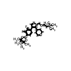 CC1(C)OB(c2ccc(-c3cnn(COCCS(C)(C)C)c3C3CCOCC3)c(F)c2F)OC1(C)C